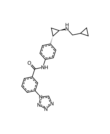 O=C(Nc1ccc([C@@H]2C[C@H]2NCC2CC2)cc1)c1cccc(-n2cnnn2)c1